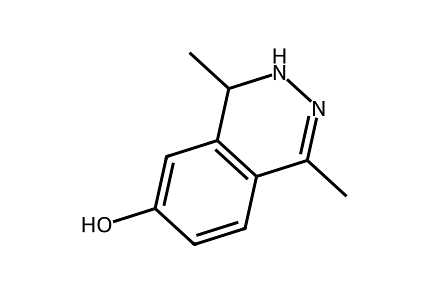 CC1=NNC(C)c2cc(O)ccc21